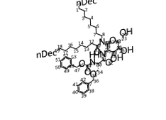 CCCCCCCCCCCCCCCCCCN(C(=O)CCCCCCCCCCCCCCCCC)[C@@H]1O[C@H](CO)[C@@H](O)[C@H](O)[C@H]1NC(=O)[C@H](COCc1ccccc1)NC(=O)OCc1ccccc1